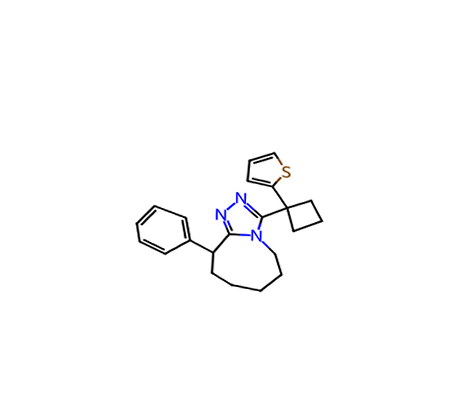 c1ccc(C2CCCCCn3c2nnc3C2(c3cccs3)CCC2)cc1